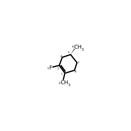 CC1=C(F)C[C@H](C)CC1